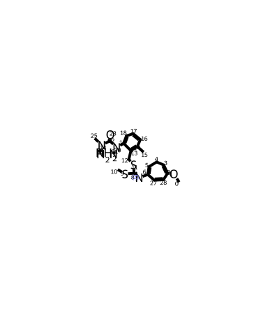 COC1=CCC=C(/N=C(/SC)SCc2c(C)cccc2N(N)C(=O)N(C)N)C=C1